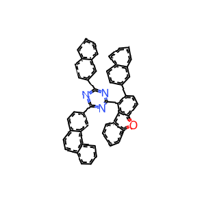 c1ccc2cc(-c3nc(-c4ccc5ccc6ccccc6c5c4)nc(-c4c(-c5ccc6ccccc6c5)ccc5oc6ccccc6c45)n3)ccc2c1